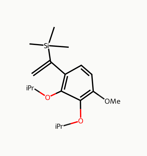 C=C(c1ccc(OC)c(OC(C)C)c1OC(C)C)[Si](C)(C)C